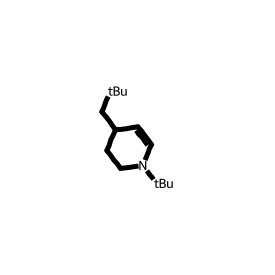 CC(C)(C)CC1C=CN(C(C)(C)C)CC1